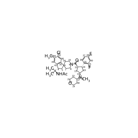 CC(=O)NC(C)(C)[C@H]1CC2(CCN(C(=O)[C@@H]3C[C@H](N(C)C4CCOCC4)C[C@H]3c3ccc(F)cc3F)CC2)c2cc(Cl)c(C)cc21